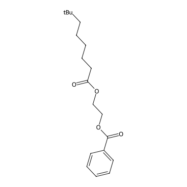 CC(C)(C)CCCCCC(=O)OCCOC(=O)c1ccccc1